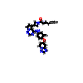 COC/C=C/C(=O)N1CC(c2ccn3ncnc(Nc4ccc(Oc5ccn6ncnc6c5)c(C)c4)c23)C1